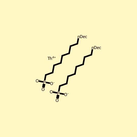 CCCCCCCCCCCCCCCCCCP(=O)([O-])[O-].CCCCCCCCCCCCCCCCCCP(=O)([O-])[O-].[Th+4]